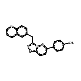 Cc1ccc(-c2ccc3nnc(Cc4ccc5ncccc5c4)n3n2)cc1